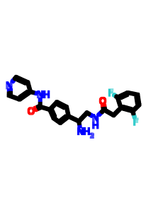 NC(CNC(=O)Cc1c(F)cccc1F)c1ccc(C(=O)Nc2ccncc2)cc1